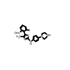 Nc1nc(Nc2ccc(N3CCNCC3)cc2)sc1-c1c(F)cccc1C=O